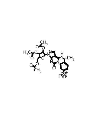 CC(=O)OCC1OC(n2ncc3c(N[C@H](C)c4ccc(S(F)(F)(F)(F)F)cc4)nc(Cl)nc32)C(OC(C)=O)C1OC(C)=O